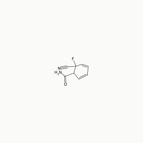 N#CC1(F)C=CC=CC1C(N)=O